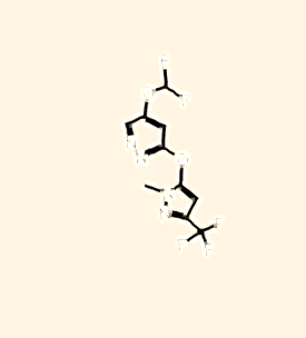 Cn1nc(C(F)(F)F)cc1Oc1cc(OC(F)F)cnn1